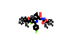 CC(C)(C)OC(=O)NCC(O)(c1cc(C(C)(C)O[Si](C)(C)C(C)(C)C)c(F)c(-c2ccc(F)cc2)n1)C1CC1